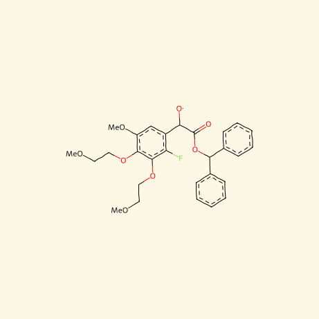 COCCOc1c(OC)cc(C([O])C(=O)OC(c2ccccc2)c2ccccc2)c(F)c1OCCOC